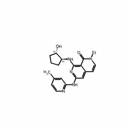 CCn1ccc2cc(Nc3cc(C)ccn3)nc(N[C@H]3CCC[C@@H]3O)c2c1=O